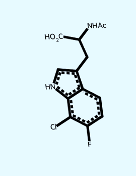 CC(=O)NC(Cc1c[nH]c2c(Cl)c(F)ccc12)C(=O)O